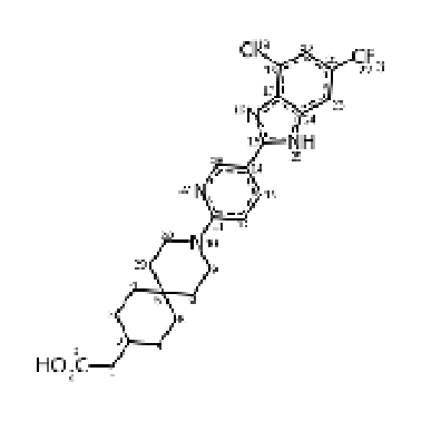 O=C(O)CC1CCC2(CC1)CCN(c1ccc(-c3nc4c(Cl)cc(C(F)(F)F)cc4[nH]3)cn1)CC2